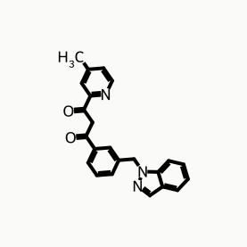 Cc1ccnc(C(=O)CC(=O)c2cccc(Cn3ncc4ccccc43)c2)c1